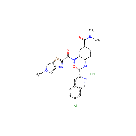 CN(C)C(=O)[C@H]1CC[C@H](NC(=O)c2cc3ccc(Cl)cc3cn2)[C@@H](NC(=O)c2nc3cn(C)cc3s2)C1.Cl